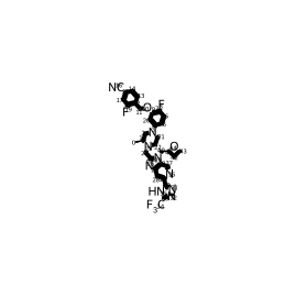 C[C@H]1CN(c2ccc(F)c(OCc3ccc(C#N)cc3F)c2)CCN1Cc1nc2cc(-c3nnc(C(F)(F)F)[nH]3)ncc2n1C[C@@H]1CCO1